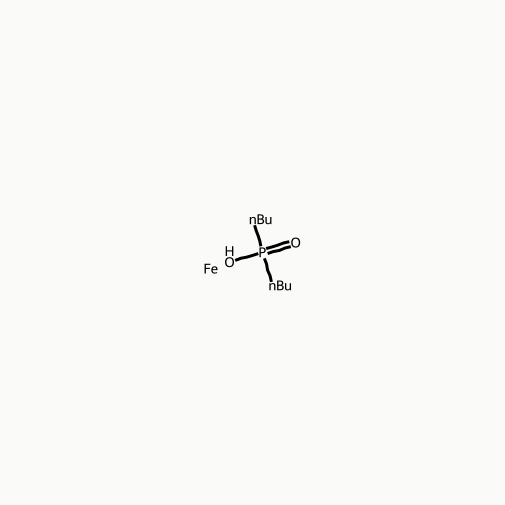 CCCCP(=O)(O)CCCC.[Fe]